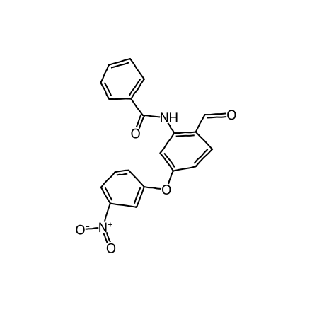 O=Cc1ccc(Oc2cccc([N+](=O)[O-])c2)cc1NC(=O)c1ccccc1